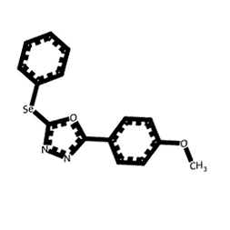 COc1ccc(-c2nnc([Se]c3ccccc3)o2)cc1